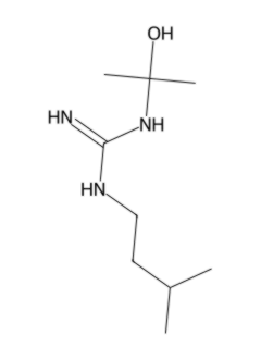 CC(C)CCNC(=N)NC(C)(C)O